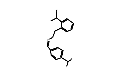 FC(F)c1ccc(/[C]=N\OCc2ccccc2C(F)F)cc1